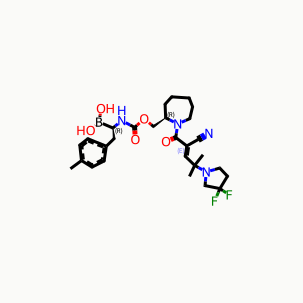 Cc1ccc(C[C@H](NC(=O)OC[C@H]2CCCCCN2C(=O)/C(C#N)=C/C(C)(C)N2CCC(F)(F)C2)B(O)O)cc1